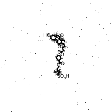 C[C@H](CCC(=O)OC1CCCC(C(=O)OCCC(F)(F)C(F)(F)S(=O)(=O)O)C1)[C@H]1CC[C@H]2[C@@H]3C(=O)C[C@@H]4CC(O)CC[C@]4(C)[C@H]3CC(=O)[C@]12C